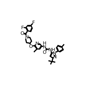 Cc1ccc(-n2nc(C(C)(C)C)cc2NC(=O)Nc2cnc(OC3CCN(C(=O)c4ccc(F)cc4F)CC3)c(C)c2)cc1